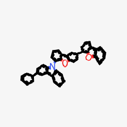 c1ccc(-c2ccc3c(c2)c2ccccc2n3-c2cccc3c2oc2ccc(-c4cccc5c4oc4ccccc45)cc23)cc1